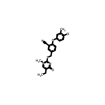 CCc1cn(C)c(SCc2ccc(Oc3ccc(Cl)c(C)c3)c(C#N)c2)nc1=O